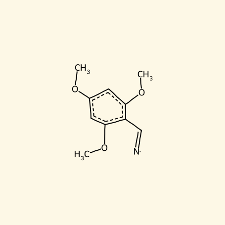 COc1cc(OC)c(C=[N])c(OC)c1